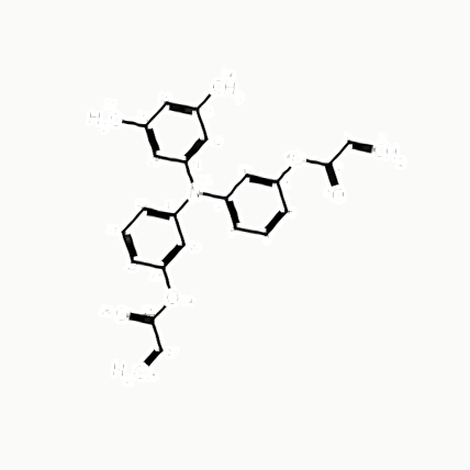 C=CC(=O)Oc1cccc(N(c2cc(C)cc(C)c2)c2cccc(OC(=O)C=C)c2)c1